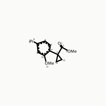 COC(=O)C1(c2ccc(C(C)C)cc2OC)CC1